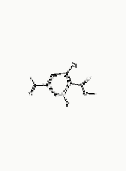 COC(=O)c1c(Cl)cc(C(C)=O)cc1Cl